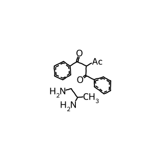 CC(=O)C(C(=O)c1ccccc1)C(=O)c1ccccc1.CC(N)CN